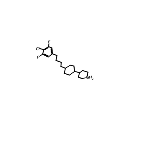 Fc1cc(CCCCC2CCC(C3CC[SiH2]CC3)CC2)cc(F)c1Cl